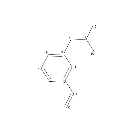 C=[C]c1cccc(CC(C)C)c1